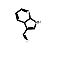 O=CC1=CNC2N=CC=CC12